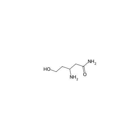 NC(=O)CC(N)CCO